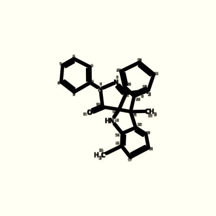 CC1=NN(c2ccccc2)C(=O)C12Nc1c(C)cccc1C2(C)c1ccccc1